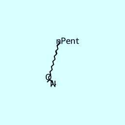 CCCCCC=CCC=CCCCCCCCCOC(C)CN(C)C